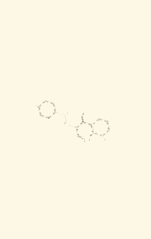 O=c1c(OCc2ccccc2)coc2ccccc12